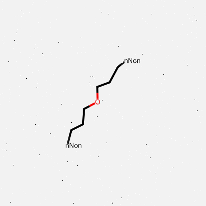 CCCCCCCCCCCCOCCCCCCCCCCCC